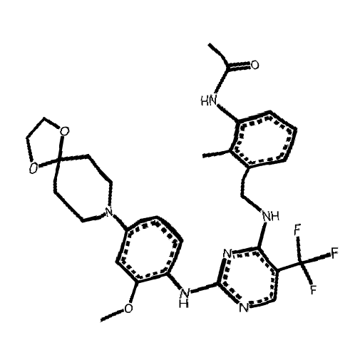 COc1cc(N2CCC3(CC2)OCCO3)ccc1Nc1ncc(C(F)(F)F)c(NCc2cccc(NC(C)=O)c2C)n1